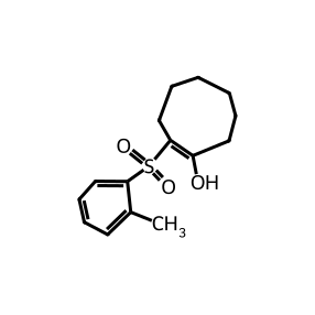 Cc1ccccc1S(=O)(=O)C1=C(O)CCCCCC1